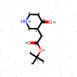 CC(C)(C)OC(=O)CC1CNCCC1=O